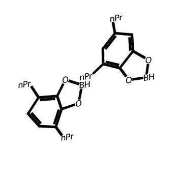 CCCc1cc(CCC)c2c(c1)OBO2.CCCc1ccc(CCC)c2c1OBO2